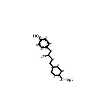 CCCCCCCC1CCC(CCC(F)Cc2ccc(O)cc2)CC1